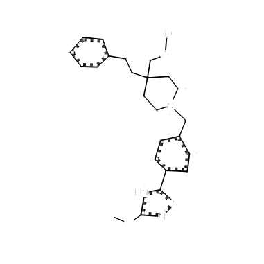 CCOCC1(CCc2ccccc2)CCN(Cc2ccc(-c3nnc(OCC)[nH]3)cc2)CC1